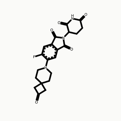 O=C1CC2(CCN(c3cc4c(cc3F)C(=O)N(C3CCC(=O)NC3=O)C4=O)CC2)C1